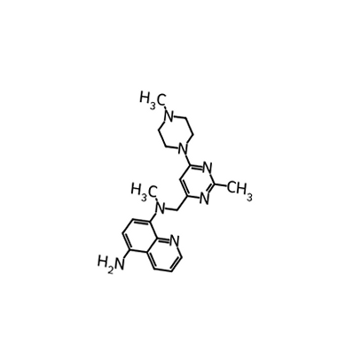 Cc1nc(CN(C)c2ccc(N)c3cccnc23)cc(N2CCN(C)CC2)n1